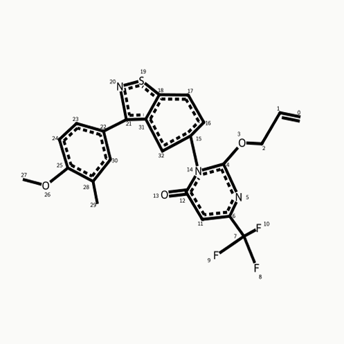 C=CCOc1nc(C(F)(F)F)cc(=O)n1-c1ccc2snc(-c3ccc(OC)c(C)c3)c2c1